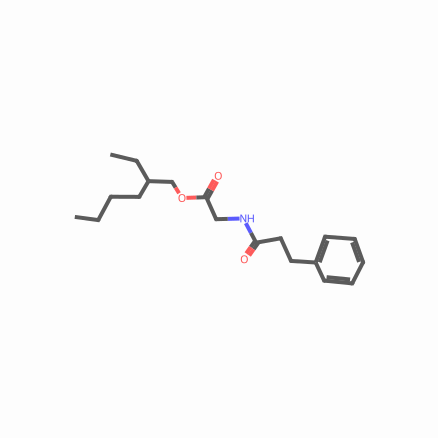 CCCCC(CC)COC(=O)CNC(=O)CCc1ccccc1